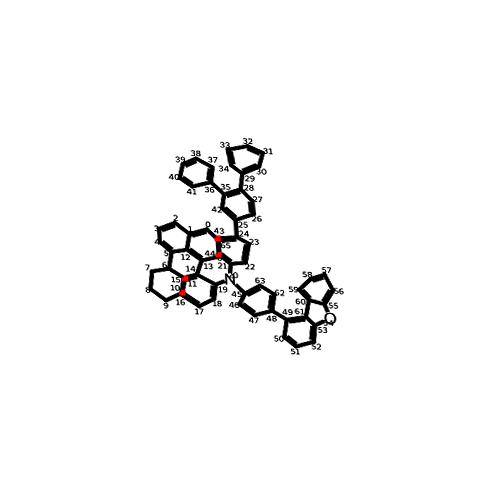 C1=c2cccc(C3CCCCC3)c2=C(c2ccccc2N(c2ccc(-c3ccc(-c4ccccc4)c(-c4ccccc4)c3)cc2)c2ccc(-c3cccc4oc5ccccc5c34)cc2)CC1